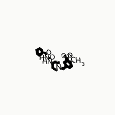 Cc1ccc(CN2CCC(NC(=O)NC(=O)c3ccccc3)CC2)cc1[N+](=O)[O-]